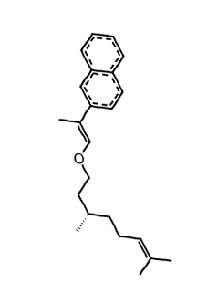 CC(C)=CCC[C@H](C)CCOC=C(C)c1ccc2ccccc2c1